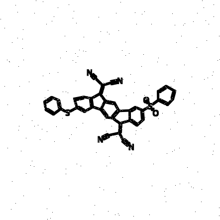 N#CC(C#N)=C1c2ccc(Sc3ccccc3)cc2-c2cc3c(cc21)-c1cc(S(=O)(=O)c2ccccc2)ccc1C3=C(C#N)C#N